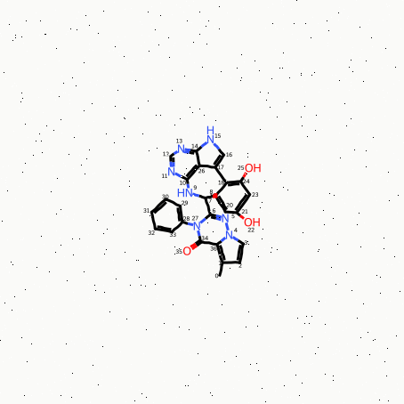 Cc1ccn2nc(C(C)Nc3ncnc4[nH]cc(-c5ccc(O)cc5O)c34)n(-c3ccccc3)c(=O)c12